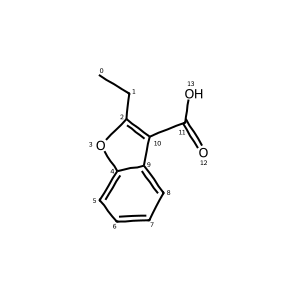 CCc1oc2ccccc2c1C(=O)O